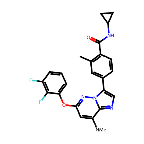 CNc1cc(Oc2cccc(F)c2F)nn2c(-c3ccc(C(=O)NC4CC4)c(C)c3)cnc12